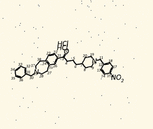 Cl.Cl.O=C(CCCC1CCN(Cc2ccc([N+](=O)[O-])cc2)CC1)c1ccc2c(c1)CCN(Cc1ccccc1)CC2